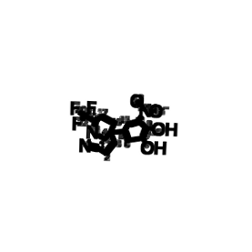 N#C/C=C\C1(c2cc(O)c(O)c([N+](=O)[O-])c2)C=CC(C(F)(F)F)=NC1